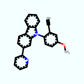 C#Cc1cc(OC)ccc1-n1c2ccccc2c2ccc(-c3ccccn3)cc21